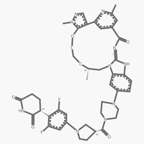 Cc1cc2cc(n1)-c1cnn(C)c1OCCC[C@@H](C)CN1/C(=N/C2=O)Nc2ccc(N3CCN(C(=O)[C@@H]4CCN(c5cc(F)c([C@H]6CCC(=O)NC6=O)c(F)c5)C4)CC3)cc21